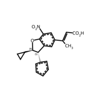 CC(=CC(=O)O)c1cc2c(c([N+](=O)[O-])c1)O[C@H](C1CC1)[C@H]2c1ccccc1